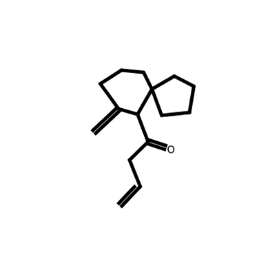 C=CCC(=O)C1C(=C)CCCC12CCCC2